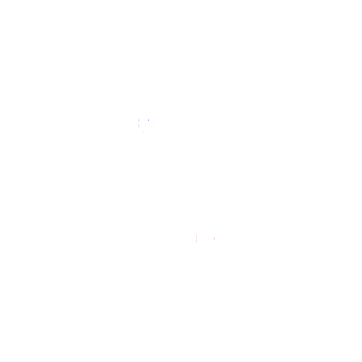 Nc1cccc(CO)c1-c1ccccc1